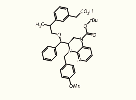 COc1ccc(CN2c3ncccc3N(C(=O)OC(C)(C)C)C[C@@H]2[C@H](OCC(C)c2cccc(CC(=O)O)c2)c2ccccc2)cc1